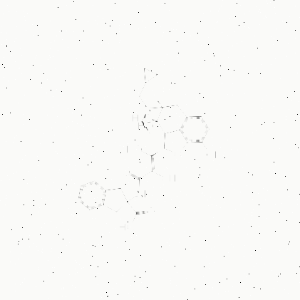 C/C(C(=O)NC1(C(=O)O)Cc2ccccc2C1)=C(/O)[C@@H]1Oc2c(O)ccc3c2[C@@]12CCN(CC1CC1)[C@H](C3)[C@@]2(C)O